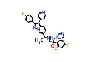 C[C@H](NC[C@@](O)(Cn1cncn1)c1ccc(F)cc1F)c1ccc2c(-c3ccncc3)c(-c3ccc(F)cc3)nn2c1